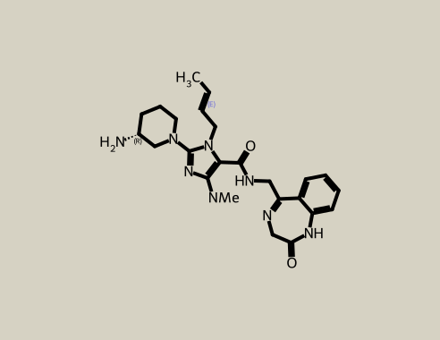 C/C=C/Cn1c(N2CCC[C@@H](N)C2)nc(NC)c1C(=O)NCC1=NCC(=O)Nc2ccccc21